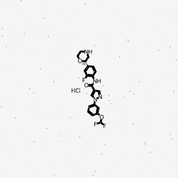 Cl.O=C(Nc1ccc([C@H]2CNCCO2)cc1F)c1cnn(-c2cccc(OC(F)F)c2)c1